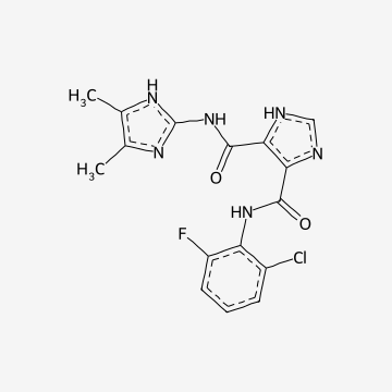 Cc1nc(NC(=O)c2[nH]cnc2C(=O)Nc2c(F)cccc2Cl)[nH]c1C